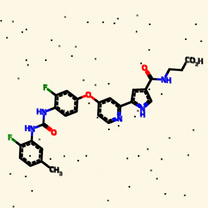 Cc1ccc(F)c(NC(=O)Nc2ccc(Oc3ccnc(-c4cc(C(=O)NCCC(=O)O)c[nH]4)c3)cc2F)c1